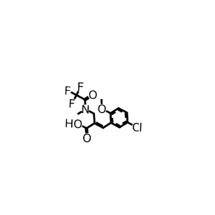 COc1ccc(Cl)cc1/C=C(\CN(C)C(=O)C(F)(F)F)C(=O)O